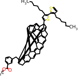 CCCCCCc1ccsc1-c1sc(C23C=C4Cc5cc6cc7c8c9c%10c%11c%12c%13c(c2c2c4c5c4c6c8c%11c4c2%13)C2(Cc4cccc(C(=O)OC)c4)C(=C3)CC3=CC(C=C9C7)C%10C%12=C32)cc1CCCCCC